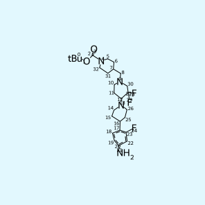 CC(C)(C)OC(=O)N1CCC(CN2CCC(N3CCC(c4ccc(N)cc4F)CC3)C(F)(F)C2)CC1